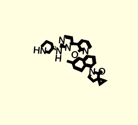 Cc1ccc2c(N3CCC4(CC4)C3=O)cccc2c1Oc1ncccc1-c1ccnc(N[C@H]2CCCNC2)n1